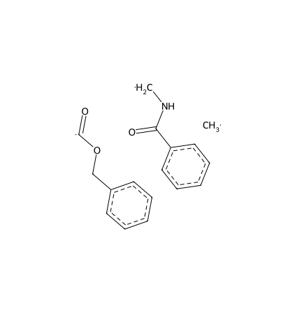 O=[C]OCc1ccccc1.[CH2]NC(=O)c1ccccc1.[CH3]